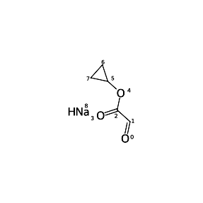 O=CC(=O)OC1CC1.[NaH]